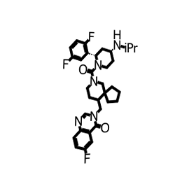 CC(C)N[C@@H]1CCN(C(=O)N2CCC(Cn3cnc4ccc(F)cc4c3=O)C3(CCCC3)C2)[C@H](c2cc(F)ccc2F)C1